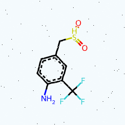 Nc1ccc(C[SH](=O)=O)cc1C(F)(F)F